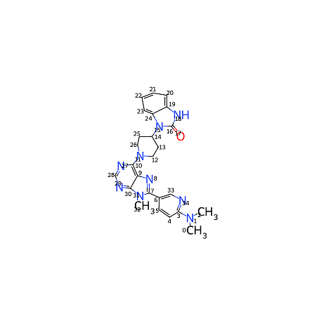 CN(C)c1ccc(-c2nc3c(N4CCC(n5c(=O)[nH]c6ccccc65)CC4)ncnc3n2C)cn1